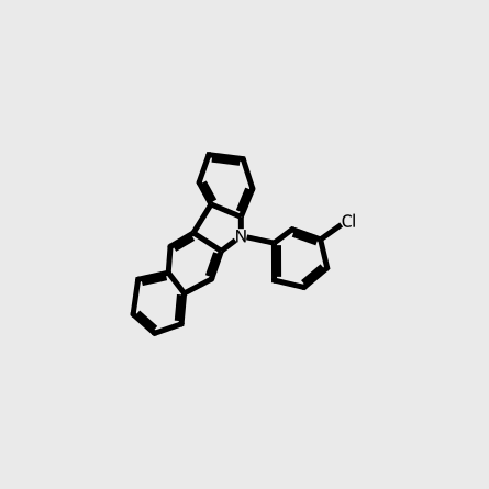 Clc1cccc(-n2c3ccccc3c3cc4ccccc4cc32)c1